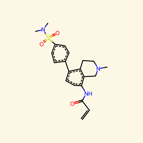 C=CC(=O)Nc1ccc(-c2ccc(S(=O)(=O)N(C)C)cc2)c2c1CN(C)CC2